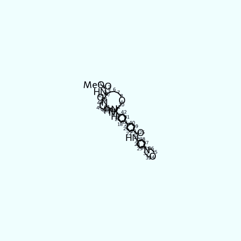 COC(=O)N[C@H]1CCCCOCc2[nH]c(nc2-c2ccc(-c3ccc(C(=O)Nc4ccc(N5CCOCC5)cc4)cc3)cc2)[C@@H]2CCCN2C1=O